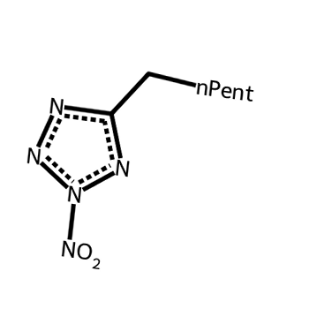 CCCCCCc1nnn([N+](=O)[O-])n1